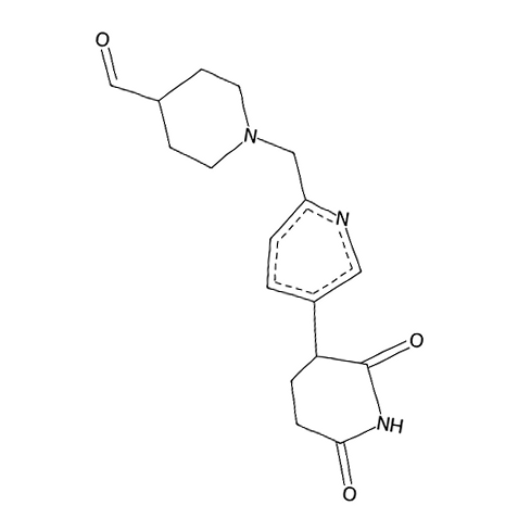 O=CC1CCN(Cc2ccc(C3CCC(=O)NC3=O)cn2)CC1